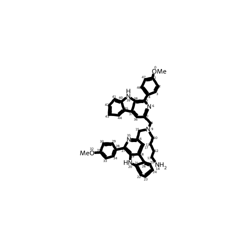 COc1ccc(-c2nc(CN(CCCCN)Cc3cc4c([nH]c5ccccc54)c(-c4ccc(OC)cc4)n3)cc3c2[nH]c2ccccc23)cc1